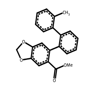 COC(=O)c1cc2c(cc1-c1ccccc1-c1ccccc1C)OCO2